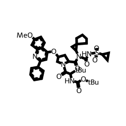 COc1ccc2c(OC3CC(C(=O)N(C(=O)NS(=O)(=O)C4CC4)C4CC45CCCC5)N(C(=O)C(NC(=O)OC(C)(C)C)C(C)(C)C)C3)cc(-c3ccccc3)nc2c1